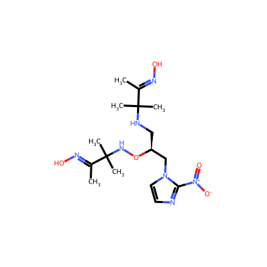 C/C(=N\O)C(C)(C)NC[C@@H](Cn1ccnc1[N+](=O)[O-])ONC(C)(C)/C(C)=N/O